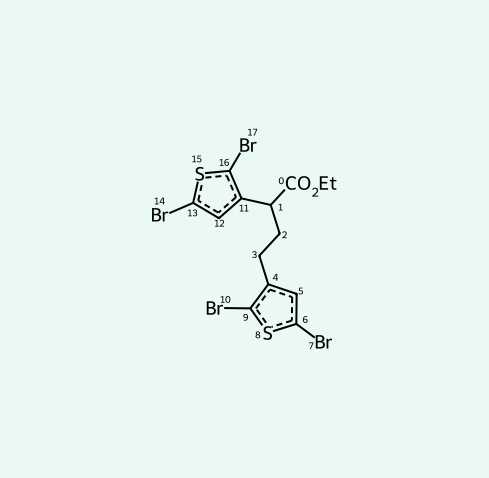 CCOC(=O)C(CCc1cc(Br)sc1Br)c1cc(Br)sc1Br